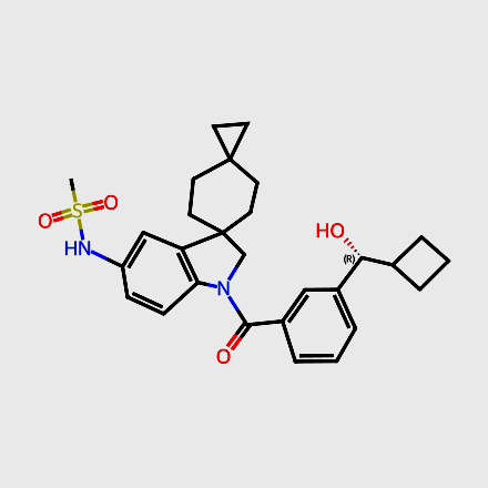 CS(=O)(=O)Nc1ccc2c(c1)C1(CCC3(CC3)CC1)CN2C(=O)c1cccc([C@H](O)C2CCC2)c1